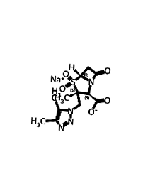 Cc1nnn(C[C@@]2(C)[C@H](C(=O)[O-])N3C(=O)C[C@H]3S2(=O)=O)c1C.[Na+]